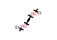 CCC(C)(C)OOC(C)(C)C#CC(C)(C)OOC(C)(C)CC